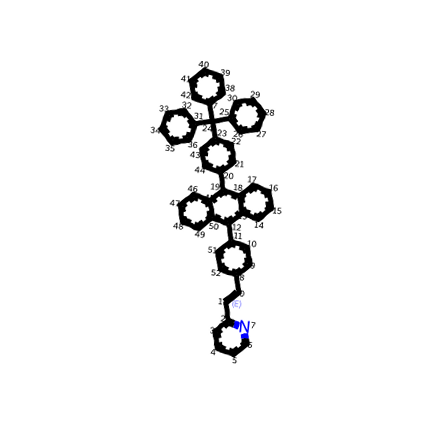 C(=C\c1ccccn1)/c1ccc(-c2c3ccccc3c(-c3ccc(C(c4ccccc4)(c4ccccc4)c4ccccc4)cc3)c3ccccc23)cc1